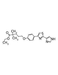 CCOC(=O)C(C)(C)CCCOc1ccc(-c2csc(-c3c[nH]cn3)n2)cc1